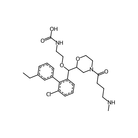 CCc1cccc(-c2c(Cl)cccc2C(OCCNC(=O)O)C2CN(C(=O)CCCNC)CCO2)c1